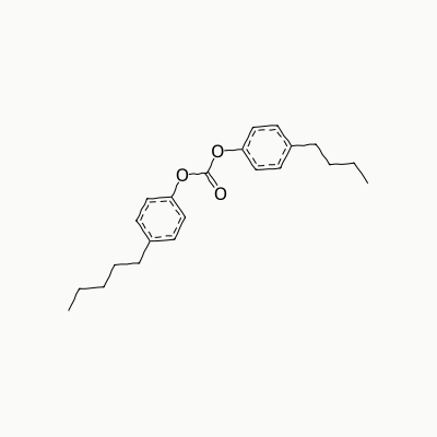 CCCCCc1ccc(OC(=O)Oc2ccc(CCCC)cc2)cc1